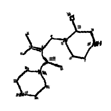 CC(C)=C(CN1CCNCC1Cl)C(C)N1CCNCC1